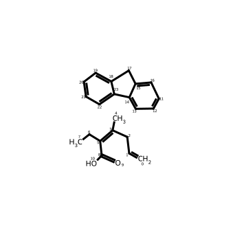 C=CCC(C)=C(CC)C(=O)O.c1ccc2c(c1)Cc1ccccc1-2